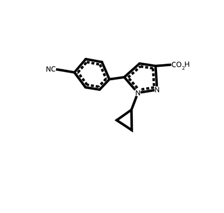 N#Cc1ccc(-c2cc(C(=O)O)nn2C2CC2)cc1